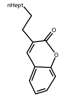 CCCCCCCCCc1cc2ccccc2oc1=O